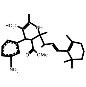 COC(=O)C1C(c2cccc([N+](=O)[O-])c2)C(C(=O)O)=C(C)NC1(C)C(C)C=CC1=C(C)CCCC1(C)C